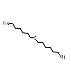 SCCCCCCSCCCCCCS